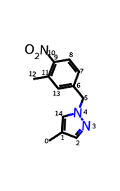 Cc1cnn(Cc2ccc([N+](=O)[O-])c(C)c2)c1